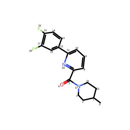 CC1CCN(C(=O)c2cccc(-c3ccc(F)c(F)c3)n2)CC1